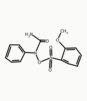 COc1ccccc1S(=O)(=O)ON(C(N)=O)c1ccccc1